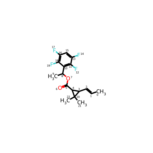 CC=CC1C(C(=O)OC(C)c2c(F)c(F)cc(F)c2F)C1(C)C